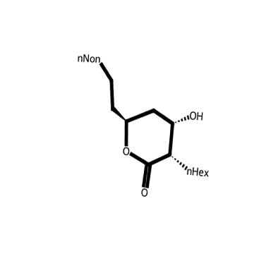 CCCCCCCCCCC[C@H]1C[C@H](O)[C@H](CCCCCC)C(=O)O1